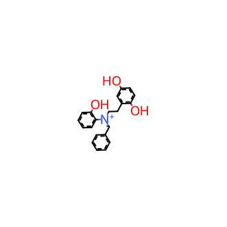 Oc1ccc(O)c(CC[N+](=Cc2ccccc2)c2ccccc2O)c1